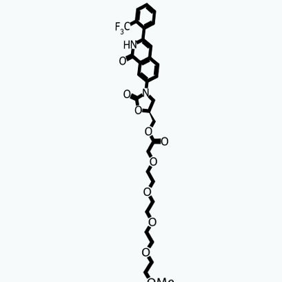 COCCOCCOCCOCCOCC(=O)OC[C@@H]1CN(c2ccc3cc(-c4ccccc4C(F)(F)F)[nH]c(=O)c3c2)C(=O)O1